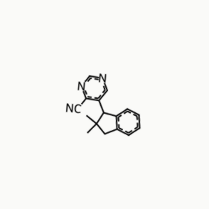 CC1(C)Cc2ccccc2C1c1cncnc1C#N